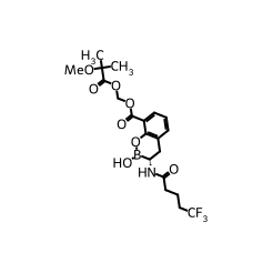 COC(C)(C)C(=O)OCOC(=O)c1cccc2c1OB(O)[C@@H](NC(=O)CCCC(F)(F)F)C2